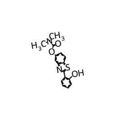 CN(C)C(=O)Oc1ccc2sc(-c3ccccc3O)nc2c1